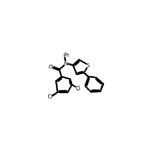 CC(C)N(C(=O)c1cc(Cl)cc(Cl)c1)c1csc(-c2ccccc2)c1